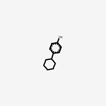 N#Cc1ccc(C2CCCCC2)cc1